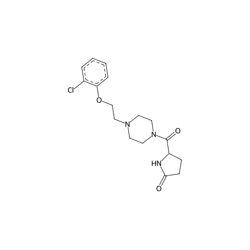 O=C1CCC(C(=O)N2CCN(CCOc3ccccc3Cl)CC2)N1